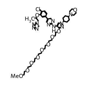 COCCOCCOCCOCCOCCOCCOCCOc1nn(C2CCC(N3CCOCC3)CC2)cc1Nc1ncc(-c2ccc(Cl)c(O[C@@H](C)Cn3cnnn3)c2)cn1